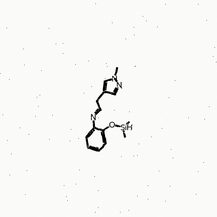 Cn1cc(CC=Nc2ccccc2O[SiH](C)C)cn1